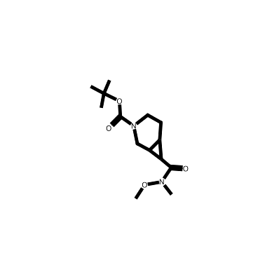 CON(C)C(=O)C1C2CCN(C(=O)OC(C)(C)C)CC21